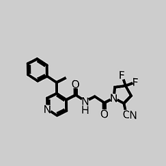 CC(c1ccccc1)c1cnccc1C(=O)NCC(=O)N1CC(F)(F)CC1C#N